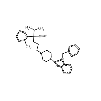 Cc1ccccc1C(C#N)(CCCN1CCN(c2nc3ccccc3n2Cc2ccccc2)CC1)C(C)C